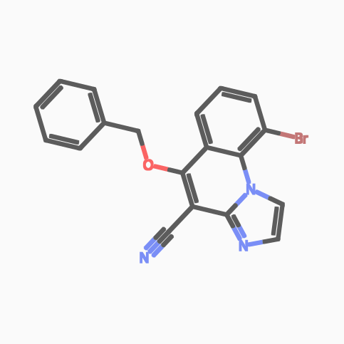 N#Cc1c(OCc2ccccc2)c2cccc(Br)c2n2ccnc12